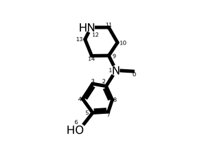 CN(c1ccc(O)cc1)C1CCNCC1